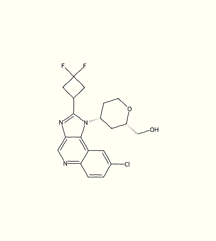 OC[C@@H]1C[C@H](n2c(C3CC(F)(F)C3)nc3cnc4ccc(Cl)cc4c32)CCO1